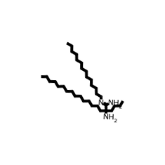 CCCCCCCCCCCCCCCC(N)(CCCC)C(N)=NCCCCCCCCCCCCCC